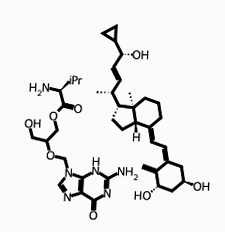 C=C1/C(=C\C=C2/CCC[C@]3(C)[C@@H]([C@H](C)/C=C/[C@@H](O)C4CC4)CC[C@@H]23)C[C@@H](O)C[C@@H]1O.CC(C)[C@H](N)C(=O)OCC(CO)OCn1cnc2c(=O)nc(N)[nH]c21